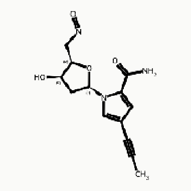 CC#Cc1cc(C(N)=O)n([C@H]2C[C@@H](O)[C@@H](CN=O)O2)c1